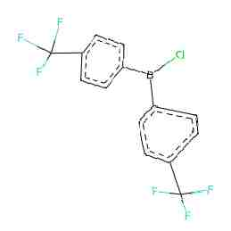 FC(F)(F)c1ccc(B(Cl)c2ccc(C(F)(F)F)cc2)cc1